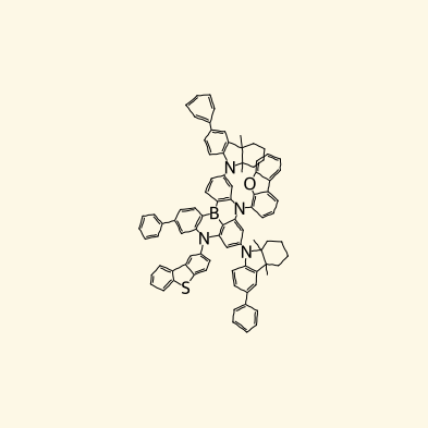 CC12CCCCC1(C)N(c1ccc3c(c1)N(c1cccc4c1oc1ccccc14)c1cc(N4c5ccc(-c6ccccc6)cc5C5(C)CCCCC45C)cc4c1B3c1ccc(-c3ccccc3)cc1N4c1ccc3sc4ccccc4c3c1)c1ccc(-c3ccccc3)cc12